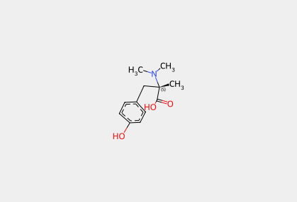 CN(C)[C@@](C)(Cc1ccc(O)cc1)C(=O)O